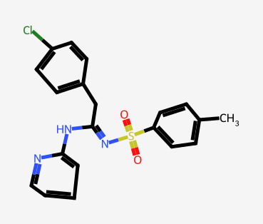 Cc1ccc(S(=O)(=O)N=C(Cc2ccc(Cl)cc2)Nc2ccccn2)cc1